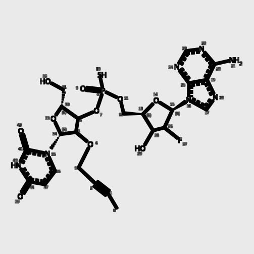 CC#CCOC1C(OP(=O)(S)OC[C@H]2O[C@@H](n3cnc4c(N)ncnc43)C(F)C2O)[C@@H](CO)O[C@H]1n1ccc(=O)[nH]c1=O